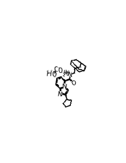 O=C(NCC12CC3CC(CC(C3)C1)C2)c1cccc2nc(C3CCCC3)cn12.O=C(O)O